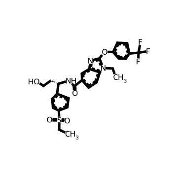 CCn1c(Oc2ccc(C(F)(F)F)cc2)nc2cc(C(=O)N[C@@H](CCO)c3ccc(S(=O)(=O)CC)cc3)ccc21